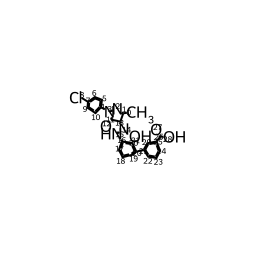 CC1=NN(c2ccc(Cl)cc2)C(=O)/C1=N\Nc1cccc(-c2cccc(C(=O)O)c2)c1O